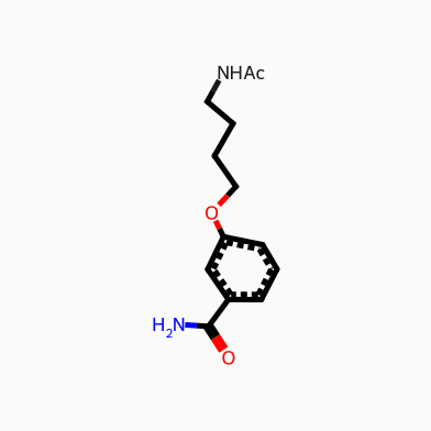 CC(=O)NCCCCOc1cccc(C(N)=O)c1